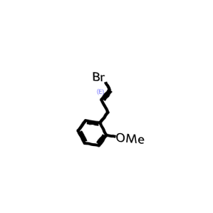 COc1ccccc1C/C=C/Br